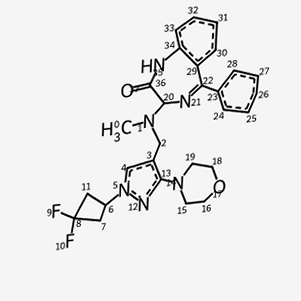 CN(Cc1cn(C2CC(F)(F)C2)nc1N1CCOCC1)C1N=C(c2ccccc2)c2ccccc2NC1=O